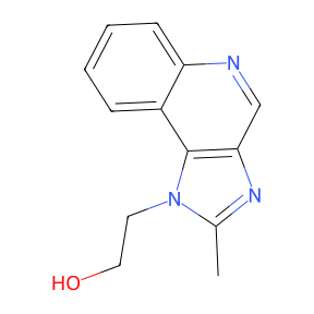 Cc1nc2cnc3ccccc3c2n1CCO